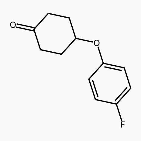 O=C1CCC(Oc2ccc(F)cc2)CC1